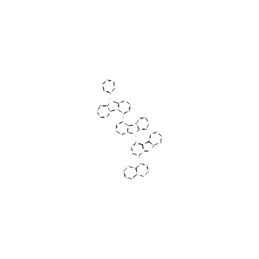 c1ccc(-n2c3ccccc3c3c(-c4cccc5c4c4ccccc4n5-c4ccc(-c5cccc6ccccc56)c5oc6ccccc6c45)cccc32)cc1